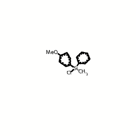 COc1ccc([Si](C)(Cl)c2ccccc2)cc1